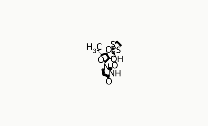 CC[C@H]1O[C@@H](n2ccc(=O)[nH]c2=O)[C@H](O)[C@@H]1OP1(=S)SCCS1